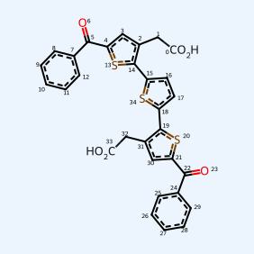 O=C(O)Cc1cc(C(=O)c2ccccc2)sc1-c1ccc(-c2sc(C(=O)c3ccccc3)cc2CC(=O)O)s1